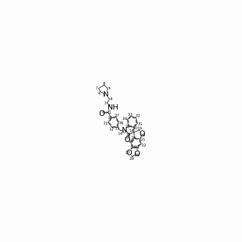 O=C(NCCN1CCCC1)c1ccc(CN2C(=O)C3(COc4cc5c(cc43)OCO5)c3ccccc32)cc1